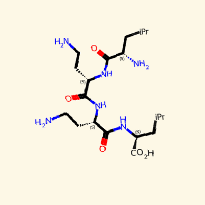 CC(C)C[C@H](NC(=O)[C@H](CCN)NC(=O)[C@H](CCN)NC(=O)[C@@H](N)CC(C)C)C(=O)O